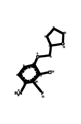 Nc1ccc(OCC2CCCO2)c(Cl)c1F